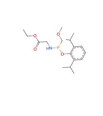 CCOC(=O)CNP(COC)Oc1c(C(C)C)cccc1C(C)C